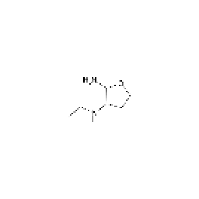 CCNC1CCOC1N